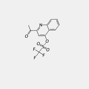 CC(=O)c1cc(OS(=O)(=O)C(F)(F)F)c2ccccc2n1